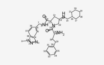 Cn1nnc2cc(CNC(=O)C3CC(NCC4CCCCC4)CN3C(=O)C(N)CCc3ccccc3)ccc21